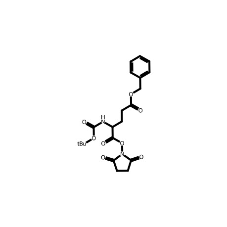 CC(C)(C)OC(=O)NC(CCC(=O)OCc1ccccc1)C(=O)ON1C(=O)CCC1=O